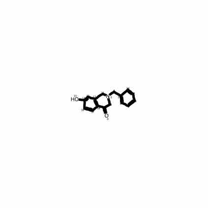 O=C1CN(Cc2ccccc2)Cc2cc(O)ccc21